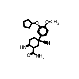 COc1ccc(C2(C#N)CCC(=N)C(C(N)=O)C2)cc1OC1CCCC1